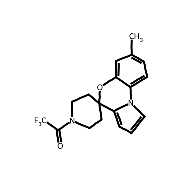 Cc1ccc2c(c1)OC1(CCN(C(=O)C(F)(F)F)CC1)c1cccn1-2